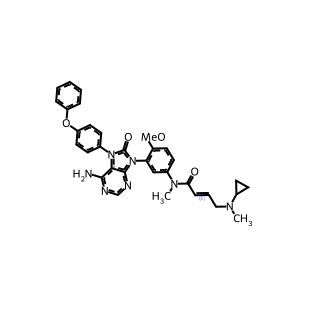 COc1ccc(N(C)C(=O)/C=C/CN(C)C2CC2)cc1-n1c(=O)n(-c2ccc(Oc3ccccc3)cc2)c2c(N)ncnc21